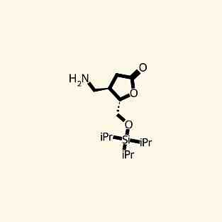 CC(C)[Si](OC[C@H]1OC(=O)C[C@@H]1CN)(C(C)C)C(C)C